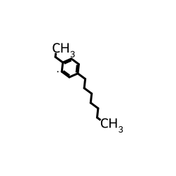 CCCCCCCc1c[c]c(CC)cc1